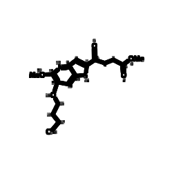 COC(=O)CCC(=O)c1cc2nc(OC)c(OCCCCl)cc2s1